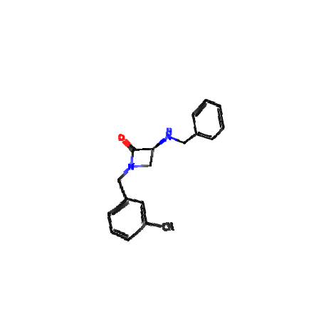 N#Cc1cccc(CN2C[C@H](NCc3ccccc3)C2=O)c1